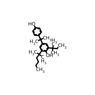 CCCCC(C)(C)c1cc(C(C)(C)c2ccc(O)cc2)cc(C(C)(C)CC)c1O